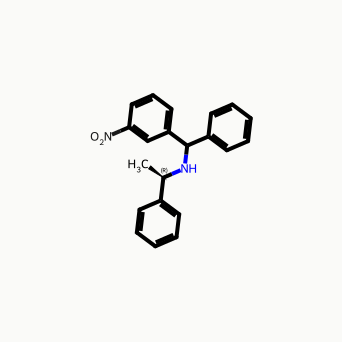 C[C@@H](NC(c1ccccc1)c1cccc([N+](=O)[O-])c1)c1ccccc1